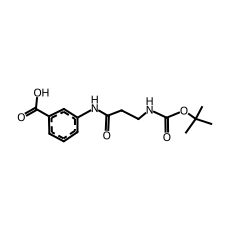 CC(C)(C)OC(=O)NCCC(=O)Nc1cccc(C(=O)O)c1